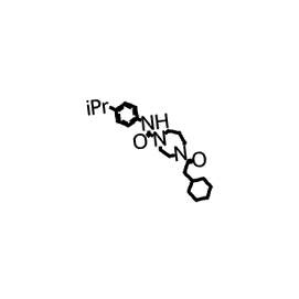 CC(C)c1ccc(NC(=O)N2CCCN(C(=O)CC3CCCCC3)CC2)cc1